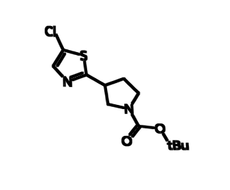 CC(C)(C)OC(=O)N1CCC(c2ncc(Cl)s2)C1